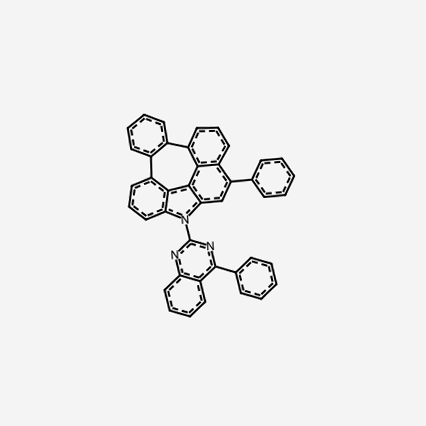 c1ccc(-c2nc(-n3c4cccc5c4c4c6c(cccc6c(-c6ccccc6)cc43)-c3ccccc3-5)nc3ccccc23)cc1